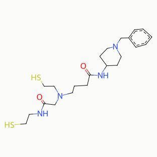 O=C(CN(CCS)CCCC(=O)NC1CCN(Cc2ccccc2)CC1)NCCS